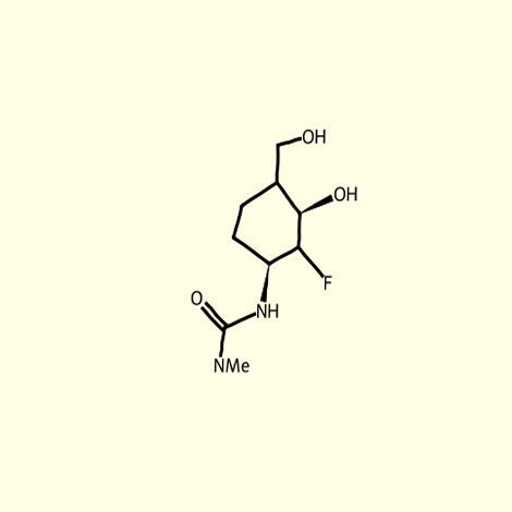 CNC(=O)N[C@H]1CCC(CO)[C@@H](O)C1F